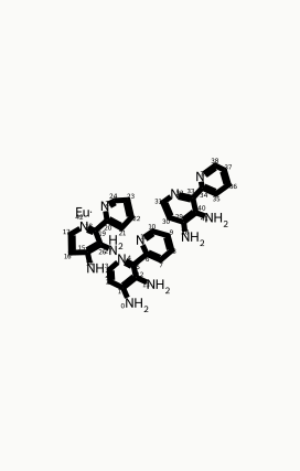 Nc1ccnc(-c2ccccn2)c1N.Nc1ccnc(-c2ccccn2)c1N.Nc1ccnc(-c2ccccn2)c1N.[Eu]